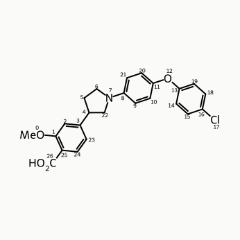 COc1cc(C2CCN(c3ccc(Oc4ccc(Cl)cc4)cc3)C2)ccc1C(=O)O